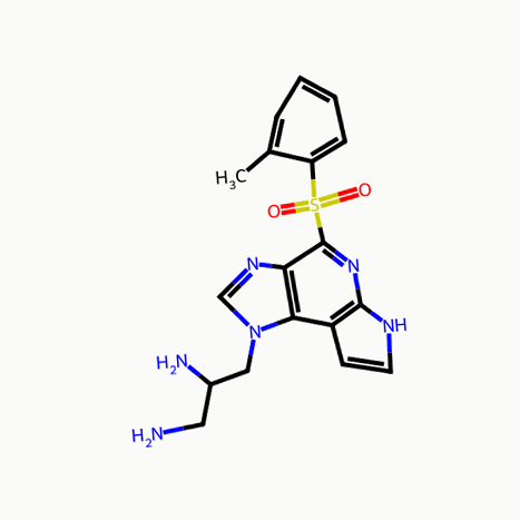 Cc1ccccc1S(=O)(=O)c1nc2[nH]ccc2c2c1ncn2CC(N)CN